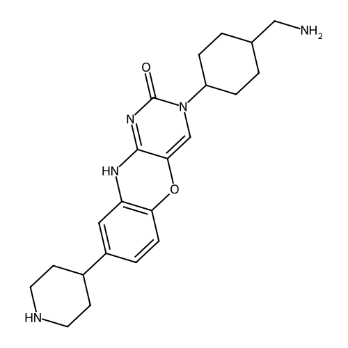 NCC1CCC(n2cc3c(nc2=O)Nc2cc(C4CCNCC4)ccc2O3)CC1